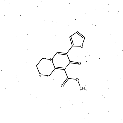 COC(=O)c1c2n(cc(-c3ccco3)c1=O)CCOC2